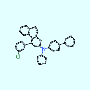 Clc1cccc(-c2cc(N(c3ccccc3)c3ccc(-c4ccccc4)cc3)cc3ccc4ccccc4c23)c1